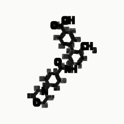 Cc1ccc(NC(=O)c2ccc(N3CCOCC3)cc2)cc1-c1ccc(C(=O)O)cc1